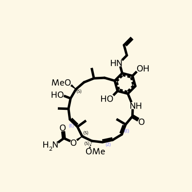 C=CCNc1c(O)cc2c(O)c1CC(C)C[C@H](OC)C(O)C(C)/C=C(\C)[C@H](OC(N)=O)[C@@H](OC)/C=C\C=C(/C)C(=O)N2